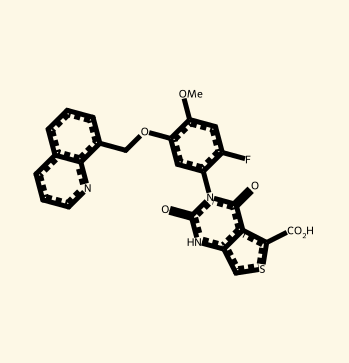 COc1cc(F)c(-n2c(=O)[nH]c3csc(C(=O)O)c3c2=O)cc1OCc1cccc2cccnc12